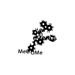 COc1ccc(CCC(OC(=O)[C@@H]2CCCN2C(=O)OCC2c3ccccc3-c3ccccc32)c2cccc(OCCN3CCOCC3)c2)cc1OC